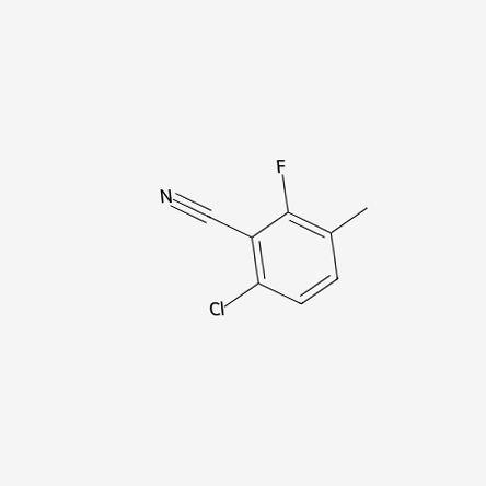 Cc1ccc(Cl)c(C#N)c1F